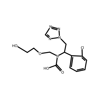 O=C(O)N(COCCO)C(Cn1ncnn1)c1ccccc1Cl